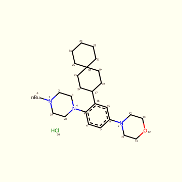 CCCCN1CCN(c2ccc(N3CCOCC3)cc2C2CCC3(CCCCC3)CC2)CC1.Cl